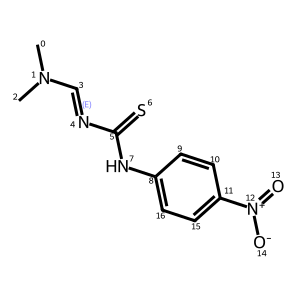 CN(C)/C=N/C(=S)Nc1ccc([N+](=O)[O-])cc1